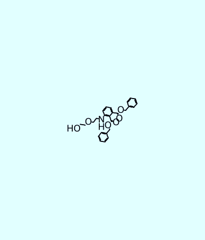 O=C(OCc1ccccc1)c1cccc(NCCOCCO)c1C(=O)OCc1ccccc1